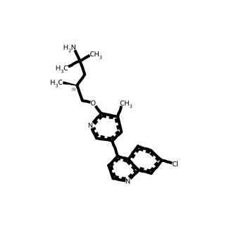 Cc1cc(-c2ccnc3cc(Cl)ccc23)cnc1OC[C@@H](C)CC(C)(C)N